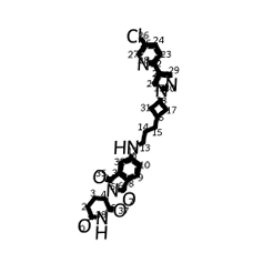 O=C1CCC(N2C(=O)c3ccc(NCCCC4CC(n5cc(-c6ccc(Cl)cn6)cn5)C4)cc3C2=O)C(=O)N1